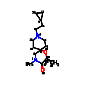 CC(C)N1CC2(CCN(CCC3CC3)CC2)O[C@@H](C)C1=O